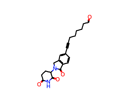 O=CCCCCCC#Cc1ccc2c(c1)CN(C1CCC(=O)NC1=O)C2=O